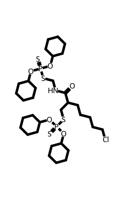 O=C(NCSP(=S)(OC1CCCCC1)OC1CCCCC1)C(CCCCCCl)CSP(=S)(OC1CCCCC1)OC1CCCCC1